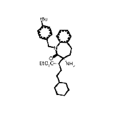 CCOC(=O)[C@@H](CCC1CCCCC1)[C@]1(N)CCc2ccccc2N(Cc2ccc(C(C)(C)C)cc2)C1=O